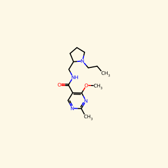 CCCN1CCCC1CNC(=O)c1cnc(C)nc1OC